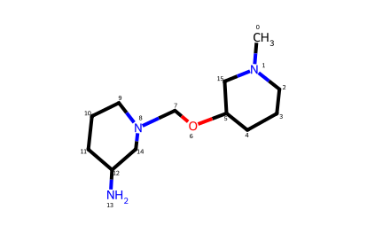 CN1CCCC(OCN2CCCC(N)C2)C1